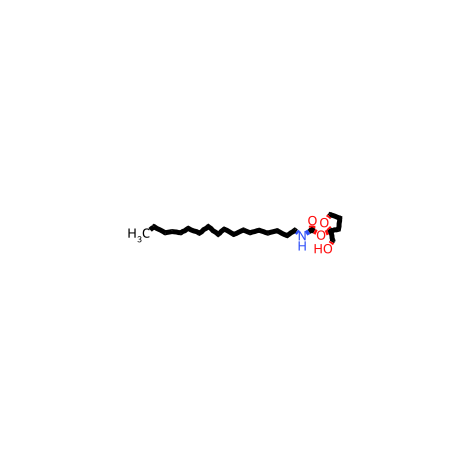 CCCCCCCCCCCCCCCCCCNC(=O)OC1(CO)CCCO1